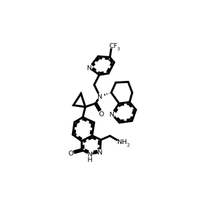 NCc1n[nH]c(=O)c2ccc(C3(C(=O)N(Cc4ccc(C(F)(F)F)cn4)[C@@H]4CCCc5cccnc54)CC3)cc12